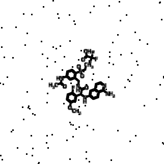 CCS(=O)(=O)c1ccc(NC(C)=O)cc1CNC(=O)C(Nc1ccc2c(N)nccc2c1)c1cc(OC)ccc1F.O=C(O)C(F)(F)F